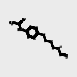 CC(=O)Nc1ccc(CCCCOC=O)cc1